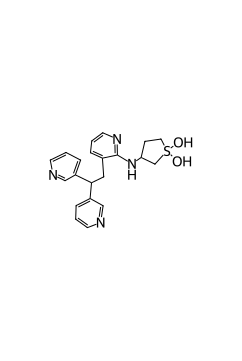 OS1(O)CCC(Nc2ncccc2CC(c2cccnc2)c2cccnc2)C1